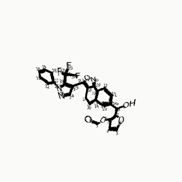 O=COc1ccoc1C(O)c1ccc2c(c1)CCc1c-2noc1-c1cnn(-c2ccccc2)c1C(F)(F)F